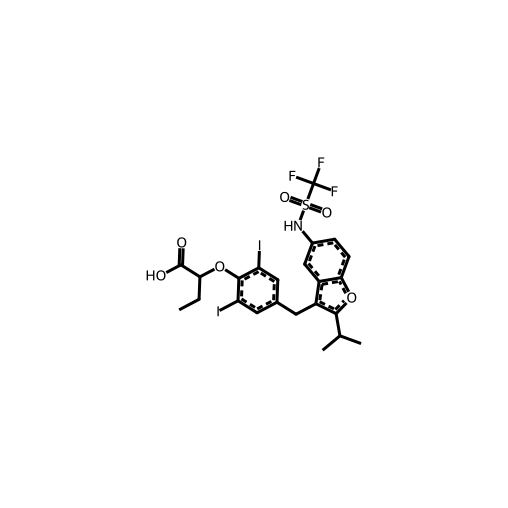 CCC(Oc1c(I)cc(Cc2c(C(C)C)oc3ccc(NS(=O)(=O)C(F)(F)F)cc23)cc1I)C(=O)O